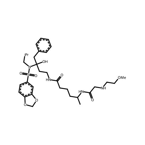 COCCNCC(=O)NC(C)CCCC(=O)NCCC(O)(Cc1ccccc1)N(CC(C)C)S(=O)(=O)c1ccc2c(c1)OCO2